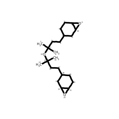 CC(C)(CCC1CCC2OC2C1)OC(C)(C)CCC1CCC2OC2C1